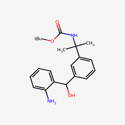 CC(C)(C)OC(=O)NC(C)(C)c1cccc(C(O)c2ccccc2N)c1